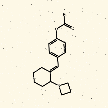 CCC(=O)Oc1ccc(/C=C2\CCCCC2N2CCC2)cc1